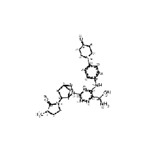 CN1CCN(C2CC3CC2N(c2nnc(C(N)O)c(Nc4ccc(N5CCC(=O)CC5)cc4)n2)C3)C1=O